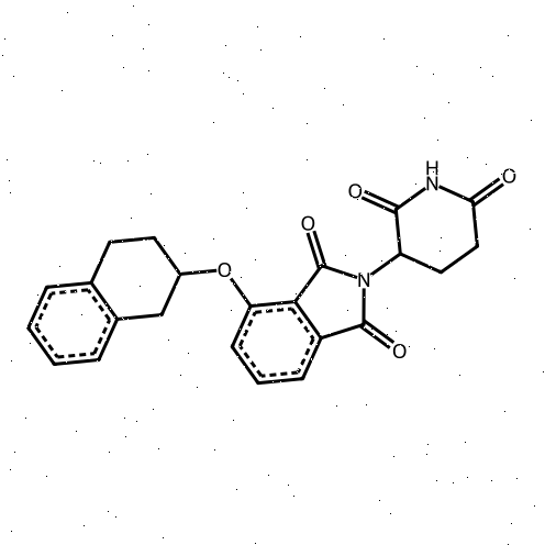 O=C1CCC(N2C(=O)c3cccc(OC4CCc5ccccc5C4)c3C2=O)C(=O)N1